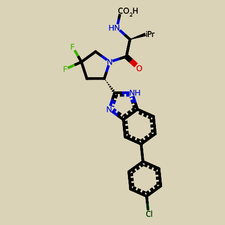 CC(C)[C@H](NC(=O)O)C(=O)N1CC(F)(F)C[C@H]1c1nc2cc(-c3ccc(Cl)cc3)ccc2[nH]1